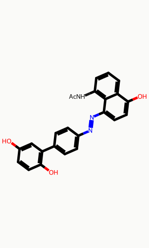 CC(=O)Nc1cccc2c(O)ccc(N=Nc3ccc(-c4cc(O)ccc4O)cc3)c12